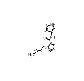 COCCn1nccc1C(=O)Nc1cc[nH]n1